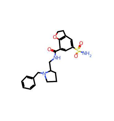 NS(=O)(=O)c1cc2c(c(C(=O)NCC3CCCN3Cc3ccccc3)c1)OCC2